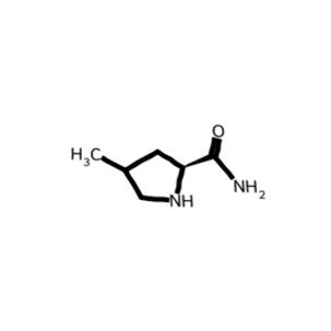 CC1CN[C@H](C(N)=O)C1